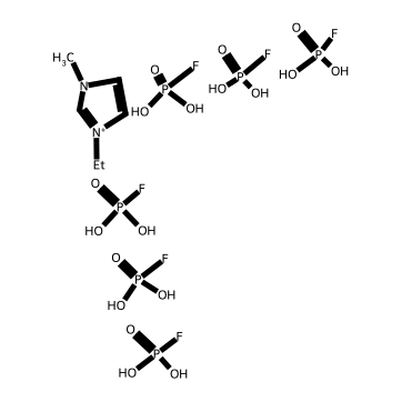 CC[n+]1ccn(C)c1.O=P(O)(O)F.O=P(O)(O)F.O=P(O)(O)F.O=P(O)(O)F.O=P(O)(O)F.O=P(O)(O)F